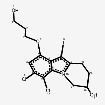 OCCCOc1cc(Cl)c(Cl)c2c1c(I)c1n2CC(O)CC1